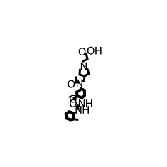 COc1cc(N(CC2CCN(CCC(=O)O)CC2)C(C)=O)ccc1NC(=O)Nc1ccccc1C